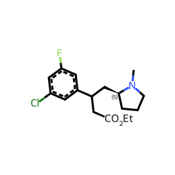 CCOC(=O)CC(C[C@@H]1CCCN1C)c1cc(F)cc(Cl)c1